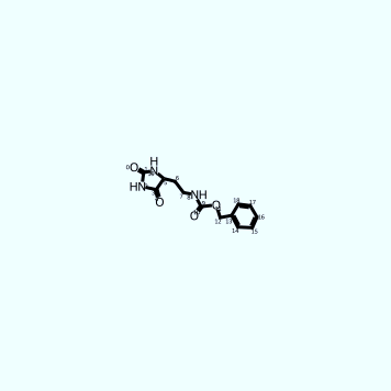 O=C1NC(=O)C(CCNC(=O)OCc2ccccc2)N1